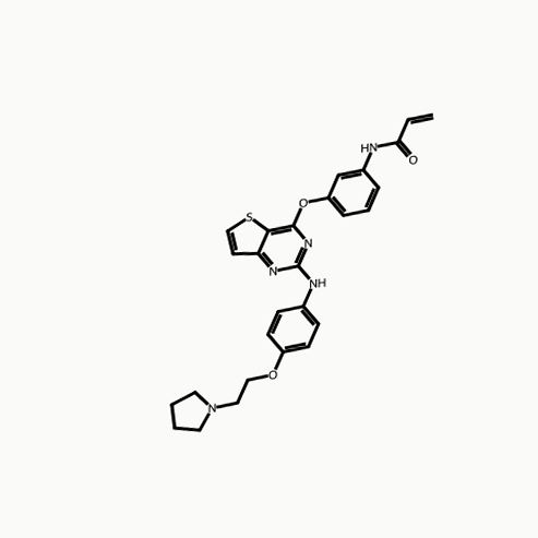 C=CC(=O)Nc1cccc(Oc2nc(Nc3ccc(OCCN4CCCC4)cc3)nc3ccsc23)c1